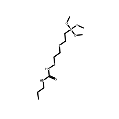 CCCNC(=S)NSCCSCC[Si](OC)(OC)OC